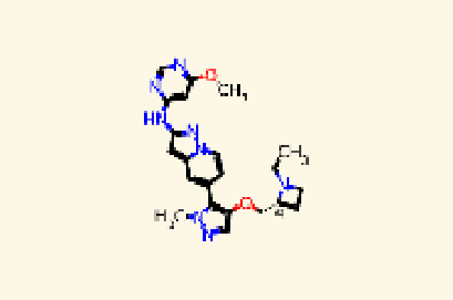 CCN1CC[C@@H]1COc1cnn(C)c1-c1ccn2nc(Nc3cc(OC)ncn3)cc2c1